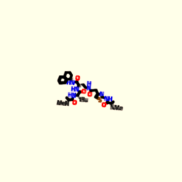 CN[C@@H](C)C(=O)Nc1nc(CC(=O)NCC[C@H](NC(=O)[C@@H](NC(=O)[C@H](C)NC)C(C)(C)C)C(=O)N[C@@H]2CCCc3ccccc32)cs1